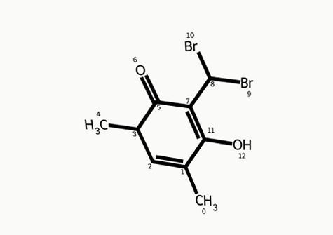 CC1=CC(C)C(=O)C(C(Br)Br)=C1O